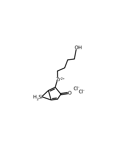 O=C1C=C2[SiH2]C2=[C]1[Zr+2][CH2]CCCO.[Cl-].[Cl-]